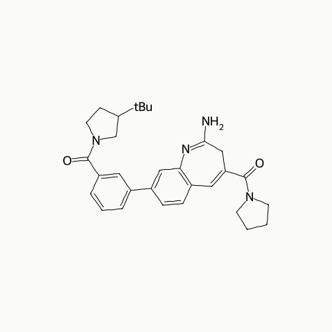 CC(C)(C)C1CCN(C(=O)c2cccc(-c3ccc4c(c3)N=C(N)CC(C(=O)N3CCCC3)=C4)c2)C1